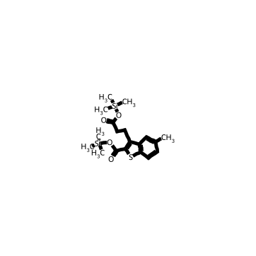 Cc1ccc2sc(C(=O)O[Si](C)(C)C)c(CCC(=O)O[Si](C)(C)C)c2c1